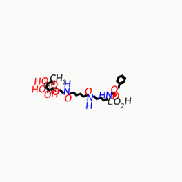 C[C@@H]1O[C@@H](OCCNC(=O)CCCCC(=O)NCCCC[C@H](NC(=O)OCc2ccccc2)C(=O)O)[C@@H](O)[C@H](O)[C@@H]1O